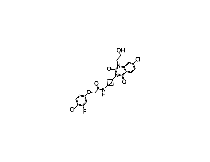 O=C(COc1ccc(Cl)c(F)c1)NC12CC(n3c(=O)c4ccc(Cl)cc4n(CCO)c3=O)(C1)C2